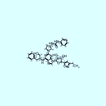 CCc1cc([C@H]2O[C@@H](n3cnc4c(N[C@H](CO)Cc5ccccc5)nc(N5CC[C@H](NC(=O)Nc6cccnc6)C5)nc43)[C@H](O)[C@@H]2O)on1